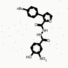 CCCCc1ccc(-c2ccoc2C(=O)NNC(=O)c2ccc(O)c([N+](=O)[O-])c2)cc1